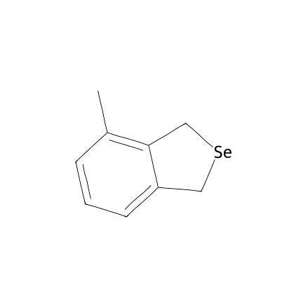 Cc1cccc2c1C[Se]C2